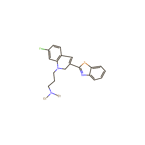 CCN(CC)CCCN1CC(c2nc3ccccc3s2)=Cc2ccc(F)cc21